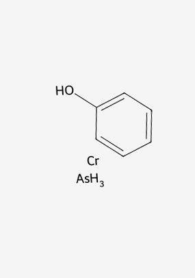 Oc1ccccc1.[AsH3].[Cr]